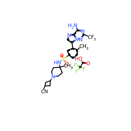 Cc1ccc(S(=O)(=O)NC2(C)CCN(C3CC(C#N)C3)CC2)cc1-c1cnc2c(N)nc(C(F)(F)F)nn12.O=C(O)C(F)(F)F